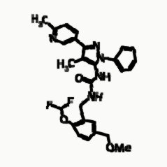 COCc1ccc(OC(F)F)c(CNC(=O)Nc2c(C)c(-c3ccc(C)nc3)nn2-c2ccccc2)c1